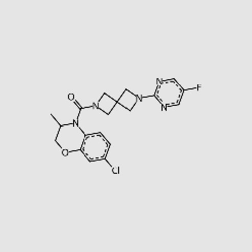 CC1COc2cc(Cl)ccc2N1C(=O)N1CC2(C1)CN(c1ncc(F)cn1)C2